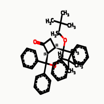 CC(C)(C)[SiH2]OC(c1ccccc1)(c1ccccc1)[C@H]1CC(=O)[C@@H]1C(O[SiH2]C(C)(C)C)(c1ccccc1)c1ccccc1